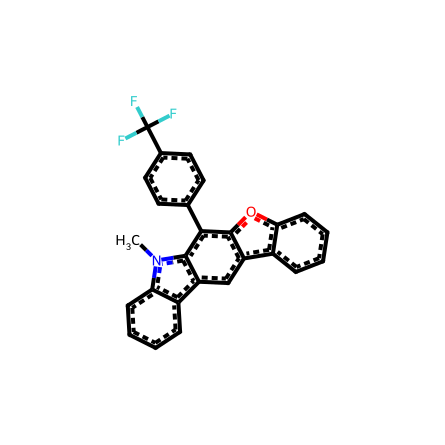 Cn1c2ccccc2c2cc3c(oc4ccccc43)c(-c3ccc(C(F)(F)F)cc3)c21